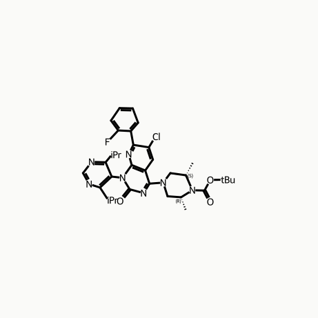 CC(C)c1ncnc(C(C)C)c1-n1c(=O)nc(N2C[C@@H](C)N(C(=O)OC(C)(C)C)[C@@H](C)C2)c2cc(Cl)c(-c3ccccc3F)nc21